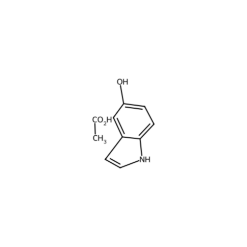 CC(=O)O.Oc1ccc2[nH]ccc2c1